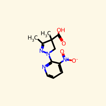 CC1=NN(c2ncccc2[N+](=O)[O-])CC1(C)C(=O)O